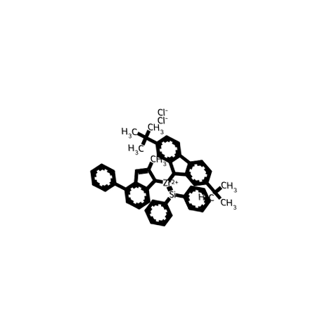 CC1=Cc2c(-c3ccccc3)cccc2[CH]1[Zr+2]([CH]1c2cc(C(C)(C)C)ccc2-c2ccc(C(C)(C)C)cc21)=[Si](c1ccccc1)c1ccccc1.[Cl-].[Cl-]